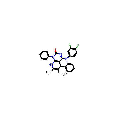 CCOC(=O)C1=C(C)Nc2c(c(Nc3ccc(F)c(F)c3)nc(=O)n2-c2ccccc2)C1c1ccccc1